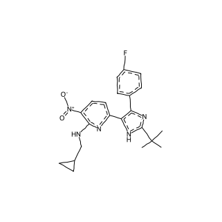 CC(C)(C)c1nc(-c2ccc(F)cc2)c(-c2ccc([N+](=O)[O-])c(NCC3CC3)n2)[nH]1